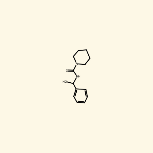 O=C(NC(O)c1ccccc1)N1CCCCC1